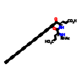 C#CC#CC#CC#CC#CC#CC#CC#CC#CC(=O)[C@H](CCC(=O)O)NC(=O)[C@H](CCC(=O)O)NNC(C)=O